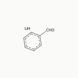 O=Cc1ccccc1.[LiH]